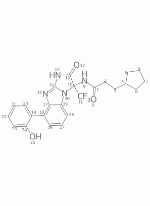 O=C(CCC1CCCC1)NC1(C(F)(F)F)C(=O)Nc2nc3c(-c4ccccc4O)cccc3n21